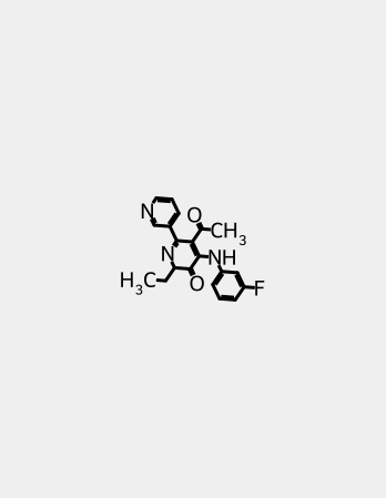 CCC1N=C(c2cccnc2)C(C(C)=O)=C(Nc2cccc(F)c2)C1=O